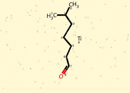 CC(C)CCCCC=O.[Ti]